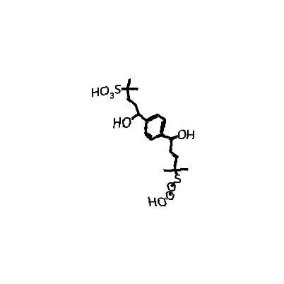 CC(C)(CCC(O)c1ccc(C(O)CCC(C)(C)S(=O)(=O)O)cc1)SOOO